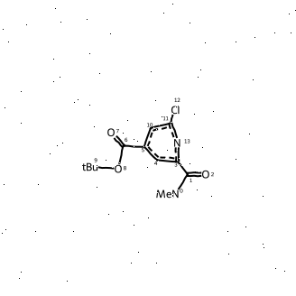 CNC(=O)c1cc(C(=O)OC(C)(C)C)cc(Cl)n1